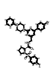 O=C(NCc1cc(-c2ccc(Br)cc2)nc(N2CCN(c3ccccn3)CC2)n1)[C@@H]1CCCN1S(=O)(=O)c1ccc(F)cc1